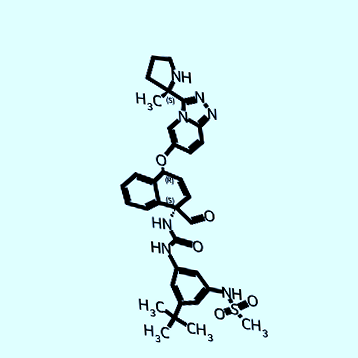 CC(C)(C)c1cc(NC(=O)N[C@@]2(C=O)C=C[C@@H](Oc3ccc4nnc([C@]5(C)CCCN5)n4c3)c3ccccc32)cc(NS(C)(=O)=O)c1